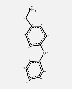 NCc1ccc(Oc2ccncc2)cc1